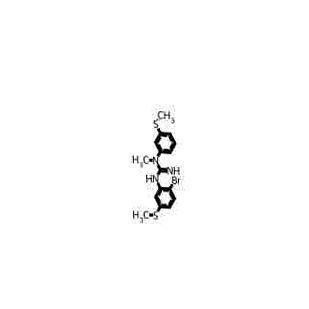 CSc1cccc(N(C)C(=N)Nc2cc(SC)ccc2Br)c1